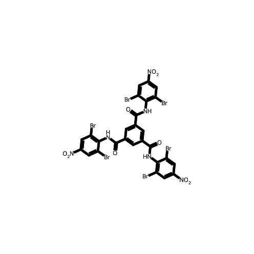 O=C(Nc1c(Br)cc([N+](=O)[O-])cc1Br)c1cc(C(=O)Nc2c(Br)cc([N+](=O)[O-])cc2Br)cc(C(=O)Nc2c(Br)cc([N+](=O)[O-])cc2Br)c1